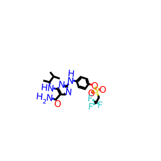 CC(C)C(C)Nc1nc(Nc2ccc(OS(=O)(=O)CC(F)(F)F)cc2)ncc1C(N)=O